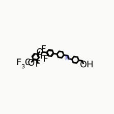 OCC1CCC(/C=C/C2CCC(c3ccc(C(F)(F)Oc4ccc(OC(F)(F)F)c(F)c4)c(F)c3)CC2)CC1